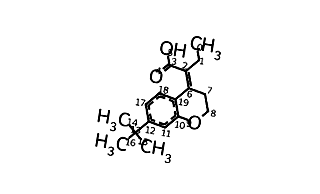 CCC(C(=O)O)=C1CCOc2cc(C(C)(C)C)ccc21